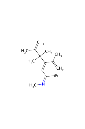 C=C(C)/C(=C\C(=N/C)C(C)C)C(C)(C)C(=C)C